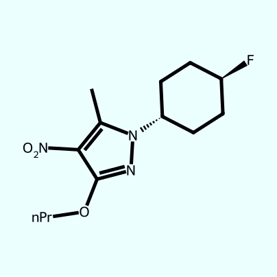 CCCOc1nn([C@H]2CC[C@H](F)CC2)c(C)c1[N+](=O)[O-]